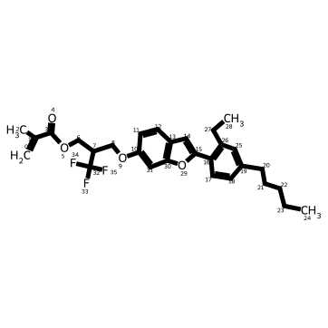 C=C(C)C(=O)OCC(COc1ccc2cc(-c3ccc(CCCCC)cc3CC)oc2c1)C(F)(F)F